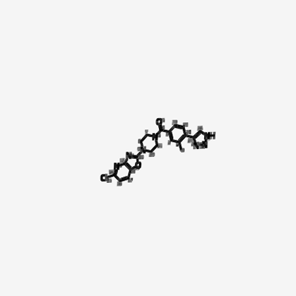 Cc1cc(C(=O)N2CCN(c3nc4nc(Cl)ccc4o3)CC2)ccc1-c1c[nH]nn1